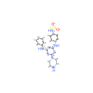 O=[SH](=O)Nc1ccc(Nc2nc(Nc3ccccc3)nc(N3CCNCC3)n2)cc1